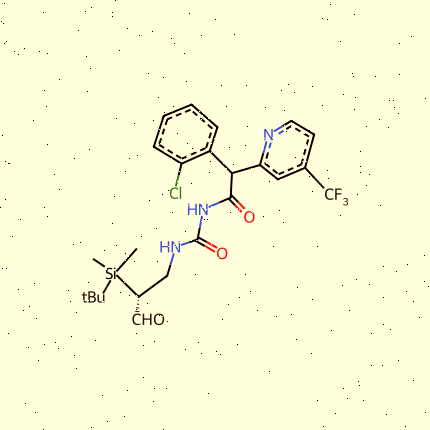 CC(C)(C)[Si](C)(C)[C@@H](C=O)CNC(=O)NC(=O)C(c1cc(C(F)(F)F)ccn1)c1ccccc1Cl